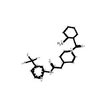 NC1CCCCC1C(=O)N1CCC(CC(=O)Nc2cc(C(F)(F)F)ccn2)CC1